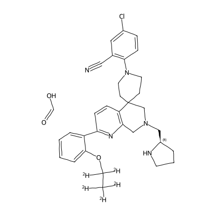 O=CO.[2H]C([2H])([2H])C([2H])([2H])Oc1ccccc1-c1ccc2c(n1)CN(C[C@H]1CCCN1)CC21CCN(c2ccc(Cl)cc2C#N)CC1